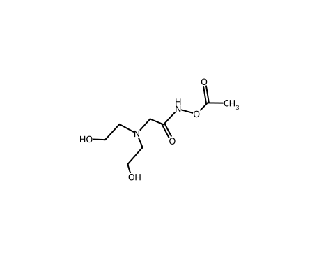 CC(=O)ONC(=O)CN(CCO)CCO